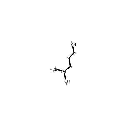 [OH][Al]([SiH3])[CH2]CCS